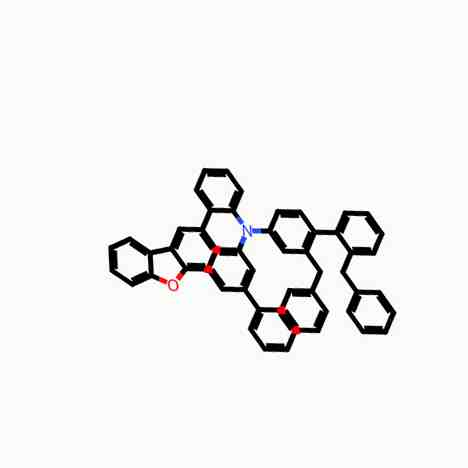 c1ccc(Cc2ccccc2-c2ccc(N(c3cccc(-c4ccccc4)c3)c3ccccc3-c3ccc4oc5ccccc5c4c3)cc2Cc2ccccc2)cc1